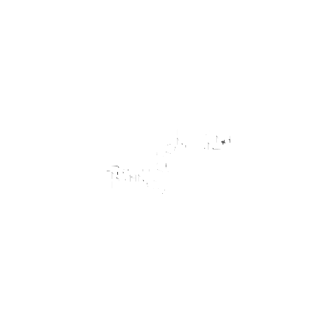 CCCOc1ccc(NC(=O)C[C@H]2C[C@H](n3cc(C)c(=O)[nH]c3=O)O[C@@H]2CC)cc1Cc1cccc(Cc2cc(NC(=O)[C@H]3O[C@@H](n4cc(C)c(=O)[nH]c4=O)C[C@@H]3C)cc(CC)c2OCCC)c1OCCC